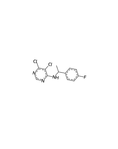 CC(Nc1ncnc(Cl)c1Cl)c1ccc(F)cc1